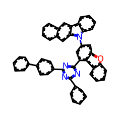 c1ccc(-c2ccc(-c3nc(-c4ccccc4)nc(-c4cc(-n5c6ccccc6c6cc7ccccc7cc65)cc5oc6ccccc6c45)n3)cc2)cc1